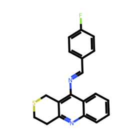 Fc1ccc(/C=N/c2c3c(nc4ccccc24)CCSC3)cc1